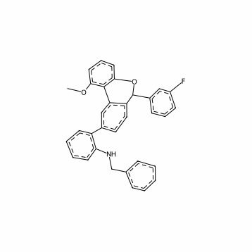 COc1cccc2c1-c1cc(-c3ccccc3NCc3ccccc3)ccc1C(c1cccc(F)c1)O2